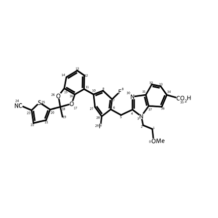 COCCn1c(Cc2c(F)cc(-c3cccc4c3OC(C)(c3ccc(C#N)s3)O4)cc2F)nc2ccc(C(=O)O)cc21